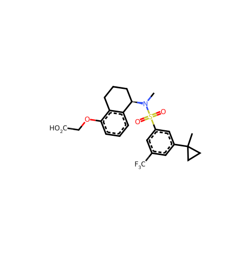 CN([C@@H]1CCCc2c(OCC(=O)O)cccc21)S(=O)(=O)c1cc(C(F)(F)F)cc(C2(C)CC2)c1